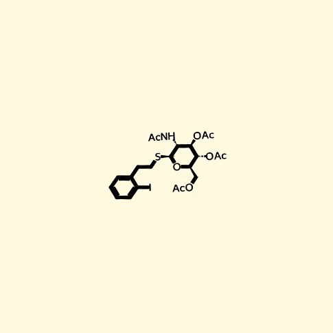 CC(=O)N[C@@H]1[C@@H](OC(C)=O)[C@H](OC(C)=O)[C@@H](COC(C)=O)O[C@H]1SCCc1ccccc1I